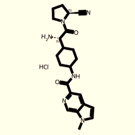 Cl.Cn1ccc2cc(C(=O)NC3CCC([C@H](N)C(=O)N4CCC[C@H]4C#N)CC3)ncc21